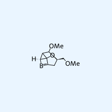 COC[C@@]12CC3=B[C@H]4C(C1OC)C34O2